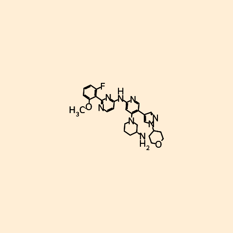 COc1cccc(F)c1-c1nccc(Nc2cc(N3CCC[C@H](N)C3)c(-c3cnn(C4CCOCC4)c3)cn2)n1